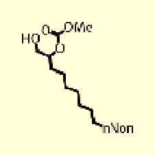 CCCCCCCCCCCCCCCCC(CO)OC(=O)OC